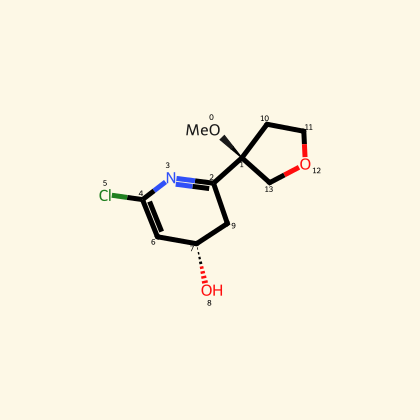 CO[C@@]1(C2=NC(Cl)=C[C@@H](O)C2)CCOC1